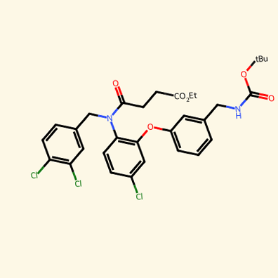 CCOC(=O)CCC(=O)N(Cc1ccc(Cl)c(Cl)c1)c1ccc(Cl)cc1Oc1cccc(CNC(=O)OC(C)(C)C)c1